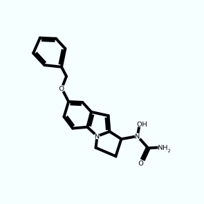 NC(=O)N(O)C1CCn2c1cc1cc(OCc3ccccc3)ccc12